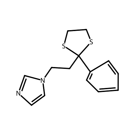 c1ccc(C2(CCn3ccnc3)SCCS2)cc1